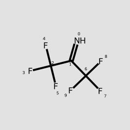 N=C(C(F)(F)F)C(F)(F)F